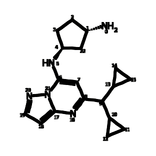 N[C@H]1CC[C@H](Nc2cc(C(C3CC3)C3CC3)nc3ccnn23)C1